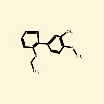 CCSc1ccc[c]c1-c1ccc(SC)c(C)c1